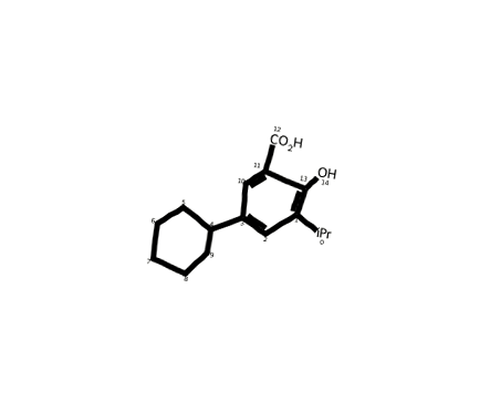 CC(C)c1cc(C2CCCCC2)cc(C(=O)O)c1O